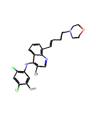 COc1cc(Nc2c(C#N)cnc3c(C=CCCN4CCOCC4)cccc23)c(Cl)cc1Cl